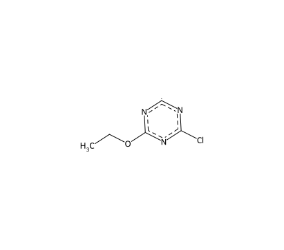 CCOc1n[c]nc(Cl)n1